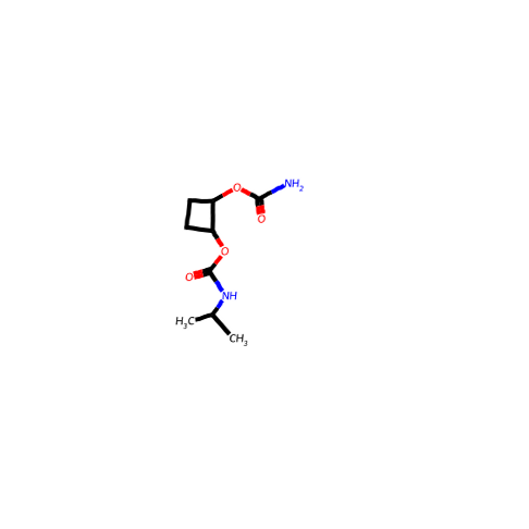 CC(C)NC(=O)OC1CCC1OC(N)=O